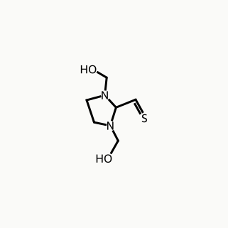 OCN1CCN(CO)C1C=S